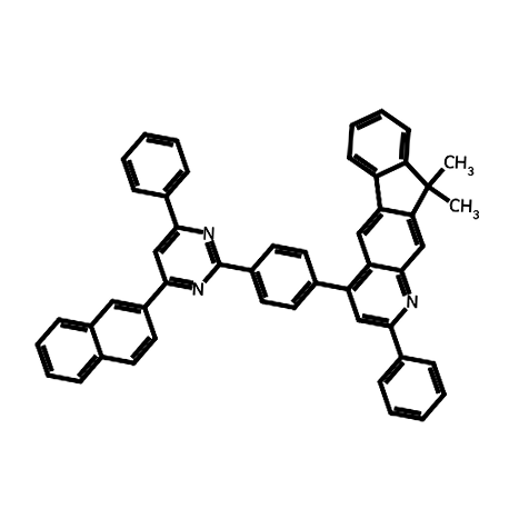 CC1(C)c2ccccc2-c2cc3c(-c4ccc(-c5nc(-c6ccccc6)cc(-c6ccc7ccccc7c6)n5)cc4)cc(-c4ccccc4)nc3cc21